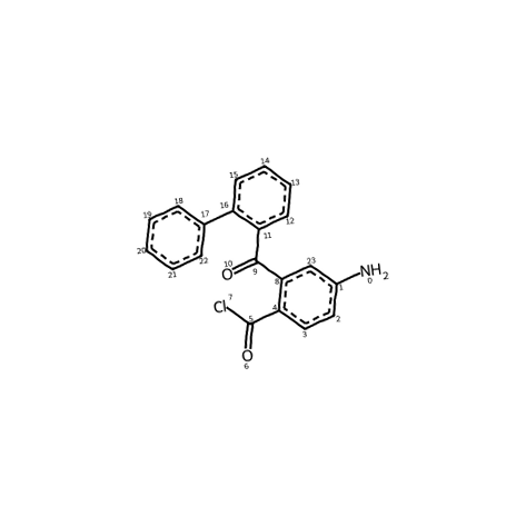 Nc1ccc(C(=O)Cl)c(C(=O)c2ccccc2-c2ccccc2)c1